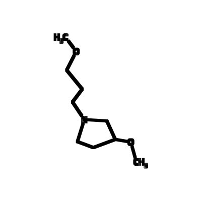 COCCCN1CCC(OC)C1